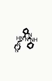 CN1CCN(CCNc2nc(Nc3ccccc3)nc3ccccc23)CC1